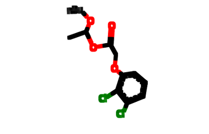 CCCCOC(C)OC(=O)COc1cccc(Cl)c1Cl